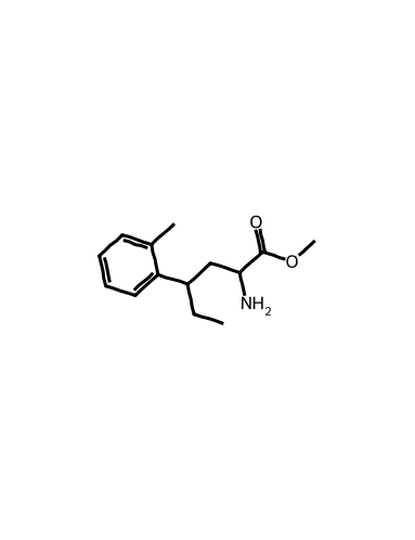 CCC(CC(N)C(=O)OC)c1ccccc1C